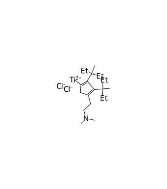 CCC(C)(CC)C1=[C]([Ti+2])CC(CCN(C)C)=C1C(C)(CC)CC.[Cl-].[Cl-]